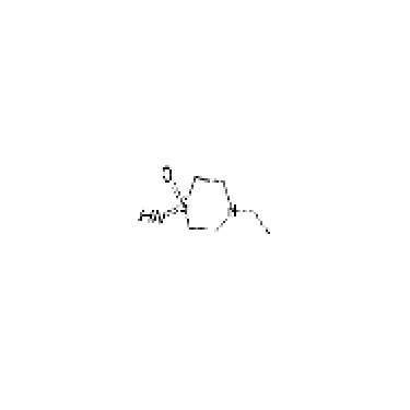 CCN1CCS(=N)(=O)CC1